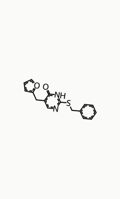 O=c1[nH]c(SCc2ccccc2)ncc1Cc1ccco1